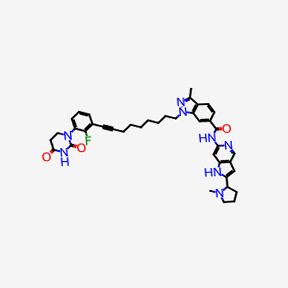 Cc1nn(CCCCCCCC#Cc2cccc(N3CCC(=O)NC3=O)c2F)c2cc(C(=O)Nc3cc4[nH]c(C5CCCN5C)cc4cn3)ccc12